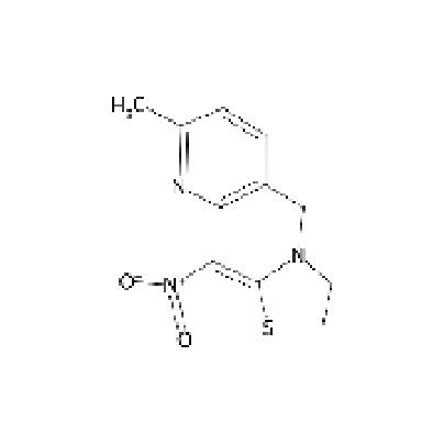 Cc1ccc(CN2CCSC2=C[N+](=O)[O-])cn1